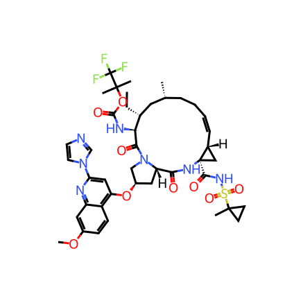 CC[C@@H]1C[C@H](C)CC/C=C\[C@@H]2C[C@@]2(C(=O)NS(=O)(=O)C2(C)CC2)NC(=O)[C@@H]2C[C@@H](Oc3cc(-n4ccnc4)nc4cc(OC)ccc34)CN2C(=O)[C@H]1NC(=O)OC(C)(C)C(F)(F)F